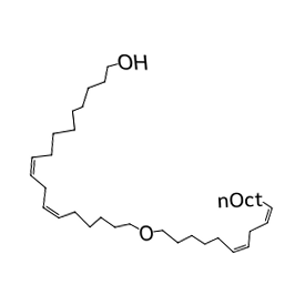 CCCCCCCC/C=C\C/C=C\CCCCCOCCCCC/C=C\C/C=C\CCCCCCCCO